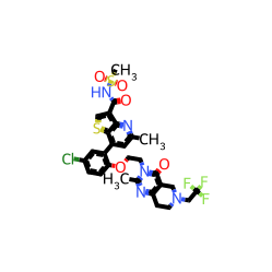 Cc1cc(-c2cc(Cl)ccc2OCCn2c(C)nc3c(c2=O)CN(CC(F)(F)F)CC3)c2scc(C(=O)NS(C)(=O)=O)c2n1